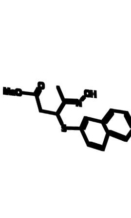 COC(=O)CC(Sc1ccc2ccccc2c1)C(C)=NO